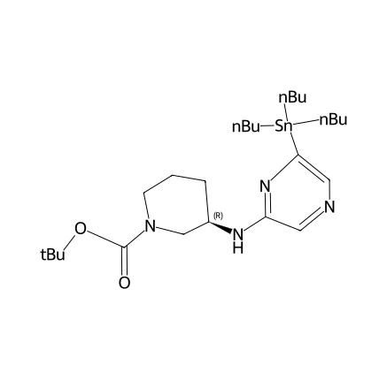 CCC[CH2][Sn]([CH2]CCC)([CH2]CCC)[c]1cncc(N[C@@H]2CCCN(C(=O)OC(C)(C)C)C2)n1